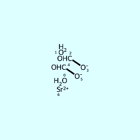 O.O.O=C[O-].O=C[O-].[Sr+2]